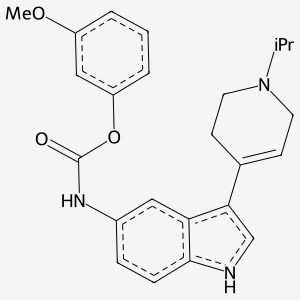 COc1cccc(OC(=O)Nc2ccc3[nH]cc(C4=CCN(C(C)C)CC4)c3c2)c1